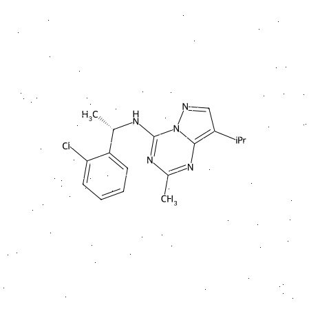 Cc1nc(N[C@@H](C)c2ccccc2Cl)n2ncc(C(C)C)c2n1